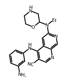 CCN(c1cc2c(Nc3cccc(N)c3)c(C#N)cnc2cn1)C1CNCCO1